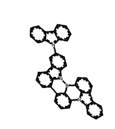 c1cc2c3c(c1)-n1c4ccccc4c4cccc(c41)B3n1c3ccc(-n4c5ccccc5c5ccccc54)cc3c3cccc-2c31